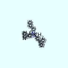 C=C(/C=C(\N=C(/C)c1cccc(-c2ccc3ccccc3c2)c1)c1ccc(-c2cncc3ccccc23)cc1)c1ccc(-c2cc3ccccc3c3ccccc23)cc1